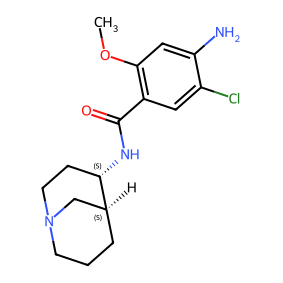 COc1cc(N)c(Cl)cc1C(=O)N[C@H]1CCN2CCC[C@H]1C2